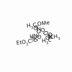 CCOC(=O)Cc1csc(NC(=O)c2cc(Oc3ccc(S(=O)(=O)N(C)C)cc3)nc(O[C@H](C)COC)c2)n1